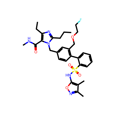 CCCc1nc(CC)c(C(=O)NC)n1Cc1ccc(-c2ccccc2S(=O)(=O)Nc2onc(C)c2C)c(COCCF)c1